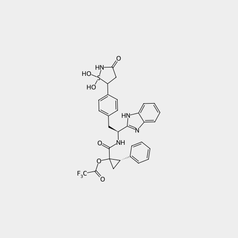 O=C1CC(c2ccc(C[C@H](NC(=O)C3(OC(=O)C(F)(F)F)C[C@H]3c3ccccc3)c3nc4ccccc4[nH]3)cc2)S(O)(O)N1